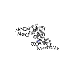 COc1cc2c(cc1OC)[C@H]1C[C@@H](OC(=O)/C(=C/C(=O)O)[C@@H]3C[C@@H]4c5cc(OC)c(OC)cc5CCN4C[C@@H]3CC(C)C)[C@H](CC(C)C)CN1CC2